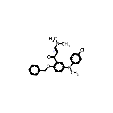 CN(C)/C=C/C(=O)c1cc(N(C)c2ccc(Cl)cc2)ccc1OCc1ccccc1